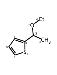 CCOC(C)c1cccs1